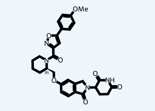 COc1ccc(-c2cc(C(=O)N3CCCC[C@@H]3COc3ccc4c(c3)CN(C3CCC(=O)NC3=O)C4=O)no2)cc1